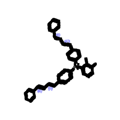 Cc1cccc(N(c2ccc(/C=C/C=C/c3ccccc3)cc2)c2ccc(/C=C/C=C/c3ccccc3)cc2)c1C